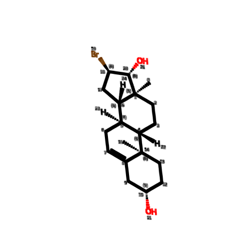 C[C@]12CC[C@H]3[C@@H](CC=C4C[C@@H](O)CC[C@@]43C)[C@@H]1C[C@@H](Br)[C@@H]2O